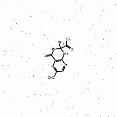 CC(C)(C)C(=O)C1(N)NC(=O)c2nc(C=O)cnc2N1